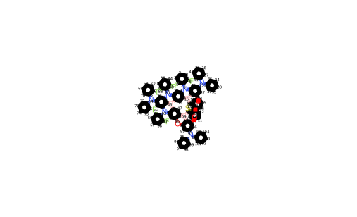 Fc1cccc(F)c1N1c2cc3c(cc2B2c4sc5ccccc5c4Oc4cc(N(c5ccccc5)c5ccccc5)cc1c42)B1c2cc4c(cc2N(c2c(F)cccc2F)c2cc(N(c5ccccc5)c5ccccc5)cc(c21)N3c1c(F)cccc1F)Oc1cc(N(c2ccccc2)c2ccccc2)cc2c1B4c1sc3ccccc3c1O2